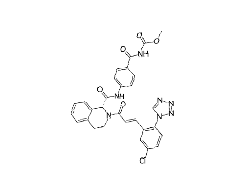 COC(=O)NC(=O)c1ccc(NC(=O)[C@H]2c3ccccc3CCN2C(=O)/C=C/c2cc(Cl)ccc2-n2cnnn2)cc1